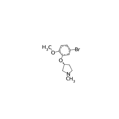 COc1ccc(Br)cc1O[C@H]1CCN(C)C1